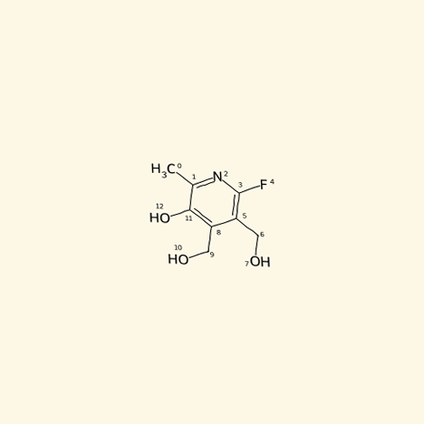 Cc1nc(F)c(CO)c(CO)c1O